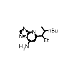 CCCCC(C)C(CC)c1cc(N)n2ncnc2n1